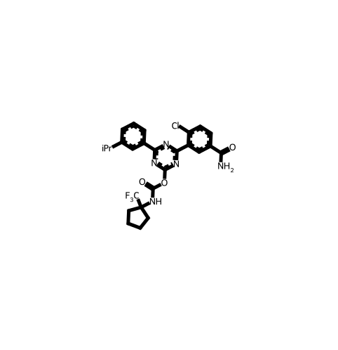 CC(C)c1cccc(-c2nc(OC(=O)NC3(C(F)(F)F)CCCC3)nc(-c3cc(C(N)=O)ccc3Cl)n2)c1